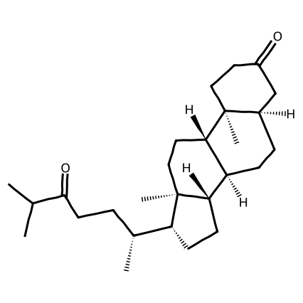 CC(C)C(=O)CC[C@@H](C)[C@H]1CC[C@H]2[C@@H]3CC[C@@H]4CC(=O)CC[C@]4(C)[C@H]3CC[C@]12C